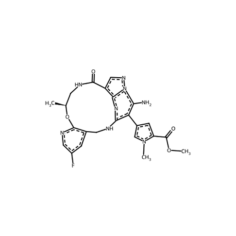 COC(=O)c1cc(-c2c3nc4c(cnn4c2N)C(=O)NC[C@H](C)Oc2ncc(F)cc2CN3)cn1C